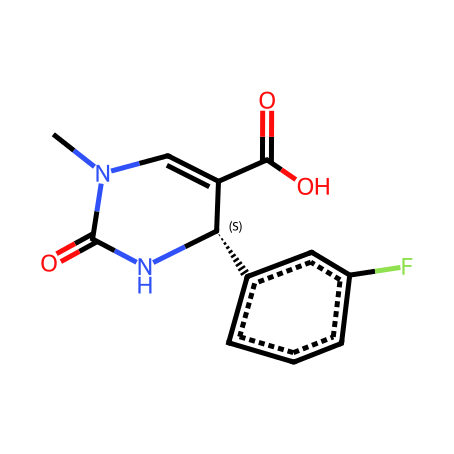 CN1C=C(C(=O)O)[C@H](c2cccc(F)c2)NC1=O